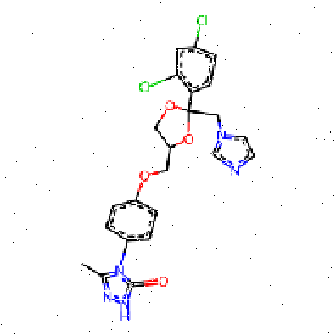 Cc1n[nH]c(=O)n1-c1ccc(OCC2COC(Cn3ccnc3)(c3ccc(Cl)cc3Cl)O2)cc1